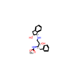 CC(C)(C)OC(=O)N[C@@H](Cc1ccccc1)[C@@H](O)CN[C@H]1c2ccccc2C[C@H]1O